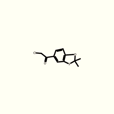 CC1(C)Oc2ccc(C(=O)CCl)cc2S1